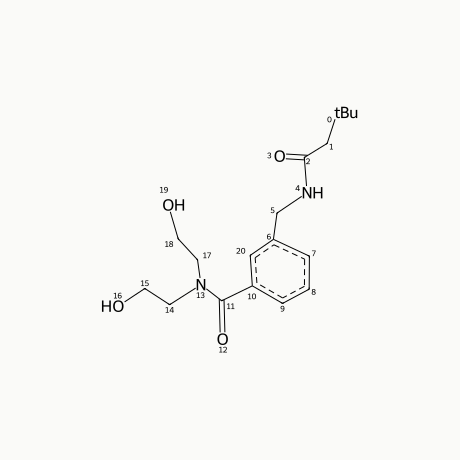 CC(C)(C)CC(=O)NCc1cccc(C(=O)N(CCO)CCO)c1